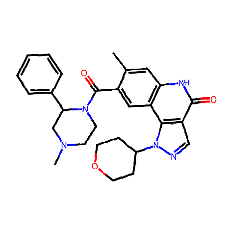 Cc1cc2[nH]c(=O)c3cnn(C4CCOCC4)c3c2cc1C(=O)N1CCN(C)CC1c1ccccc1